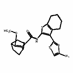 O=C(O)OC1=C(C(=O)Nc2sc3c(c2-c2nc(C(F)(F)F)cs2)CCCC3)C2CCC1CC2